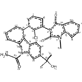 Cn1c(=O)n(-c2cccc(-c3cccc4c3c3ccc(C(C)(C)O)cc3n4C(N)=O)c2Cl)c(=O)c2ccccc21